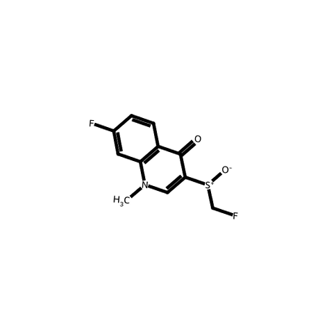 Cn1cc([S+]([O-])CF)c(=O)c2ccc(F)cc21